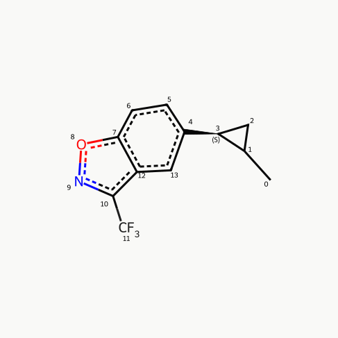 CC1C[C@@H]1c1ccc2onc(C(F)(F)F)c2c1